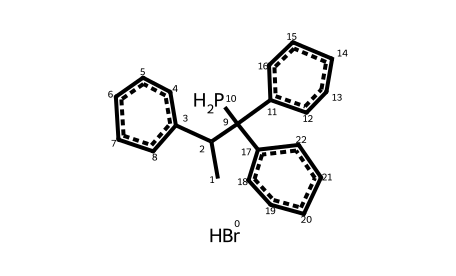 Br.CC(c1ccccc1)C(P)(c1ccccc1)c1ccccc1